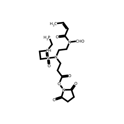 C/C=C\C(=O)N(C=O)CCN(CCC(=O)ON1C(=O)CCC1=O)S1(=O)=[PH](CP)CC1